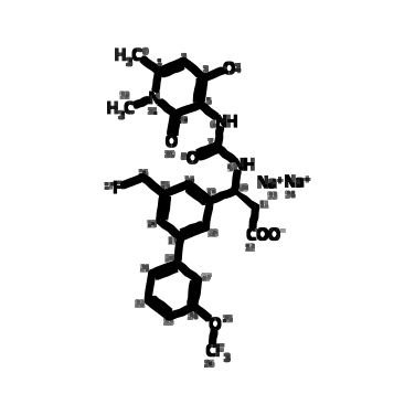 Cc1cc([O-])c(NC(=O)N[C@@H](CC(=O)[O-])c2cc(CF)cc(-c3cccc(OC(F)(F)F)c3)c2)c(=O)n1C.[Na+].[Na+]